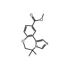 COC(=O)c1ccc2c(c1)-c1cncn1C(C)(C)CO2